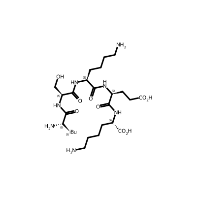 CC[C@H](C)[C@H](N)C(=O)N[C@@H](CO)C(=O)N[C@@H](CCCCN)C(=O)N[C@@H](CCC(=O)O)C(=O)N[C@@H](CCCCN)C(=O)O